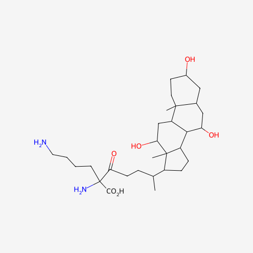 CC(CCC(=O)C(N)(CCCCN)C(=O)O)C1CCC2C3C(O)CC4CC(O)CCC4(C)C3CC(O)C12C